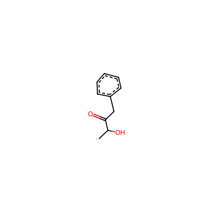 [CH2]C(O)C(=O)Cc1ccccc1